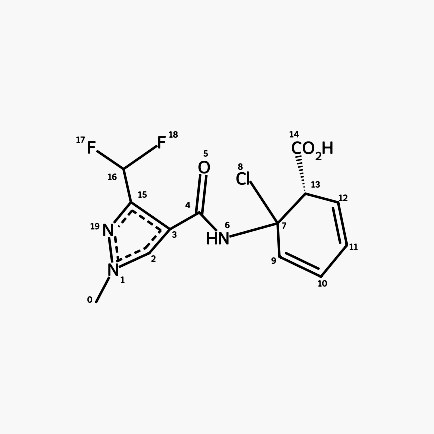 Cn1cc(C(=O)NC2(Cl)C=CC=C[C@H]2C(=O)O)c(C(F)F)n1